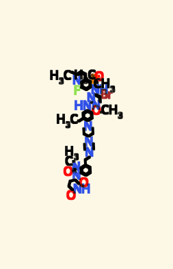 CCOc1cc(N2CCC(N3CCN(CCc4cccc5c4n(CC)c(=O)n5C4CCC(=O)NC4=O)CC3)CC2)c(CC)cc1Nc1ncc(Br)c(Nc2cc(F)c3nc(CC)ccc3c2P(C)(C)=O)n1